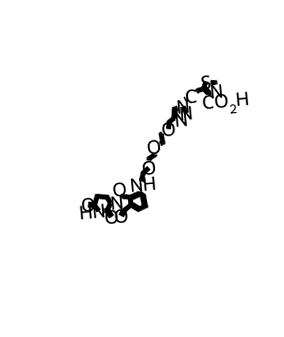 O=C1CCC(N2C(=O)c3cccc(NCCOCCOCCOCc4cn(CCCc5scnc5C(=O)O)nn4)c3C2=O)C(=O)N1